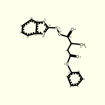 CC(CC(=O)Oc1ccccc1)C(=O)OSc1nc2ccccc2o1